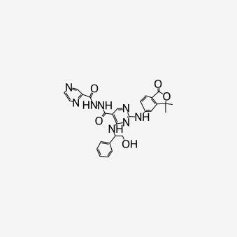 CC1(C)OC(=O)c2ccc(Nc3ncc(C(=O)NNC(=O)c4cnccn4)c(NC(CO)c4ccccc4)n3)cc21